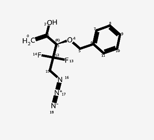 C=C(O)[C@@H](OCc1ccccc1)C(F)(F)CN=[N+]=[N-]